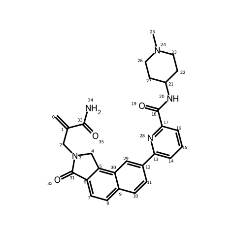 C=C(CN1Cc2c(ccc3ccc(-c4cccc(C(=O)NC5CCN(C)CC5)n4)cc23)C1=O)C(N)=O